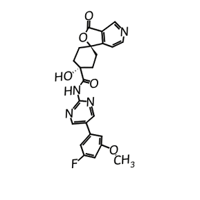 COc1cc(F)cc(-c2cnc(NC(=O)[C@]3(O)CC[C@@]4(CC3)OC(=O)c3cnccc34)nc2)c1